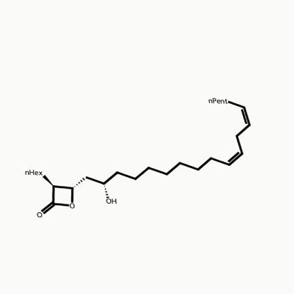 CCCCC/C=C\C/C=C\CCCCCCC[C@H](O)C[C@@H]1OC(=O)[C@H]1CCCCCC